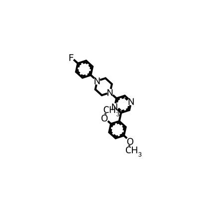 COc1ccc(OC)c(-c2cncc(N3CCN(c4ccc(F)cc4)CC3)n2)c1